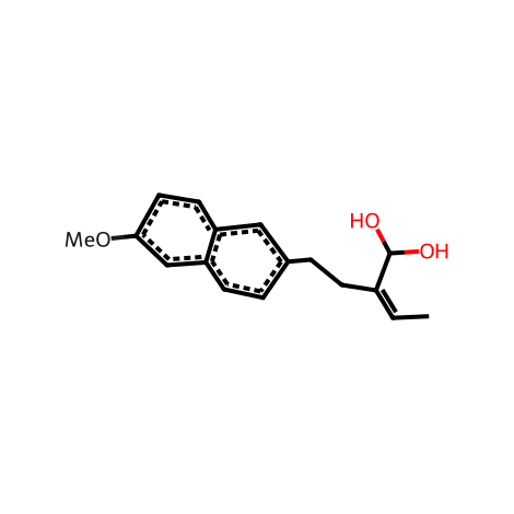 CC=C(CCc1ccc2cc(OC)ccc2c1)C(O)O